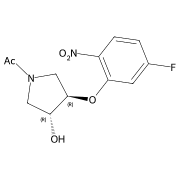 CC(=O)N1C[C@@H](O)[C@H](Oc2cc(F)ccc2[N+](=O)[O-])C1